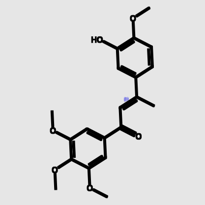 COc1ccc(/C(C)=C/C(=O)c2cc(OC)c(OC)c(OC)c2)cc1O